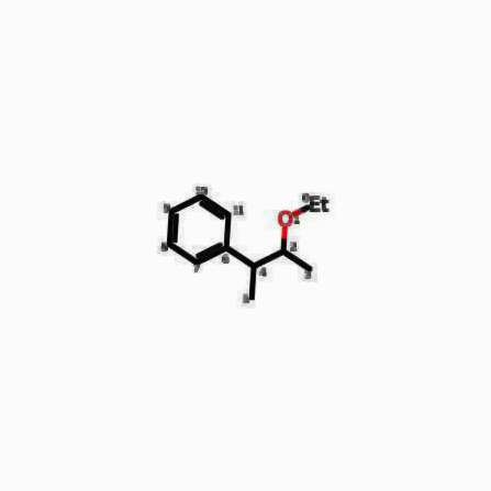 CCOC(C)C(C)c1ccccc1